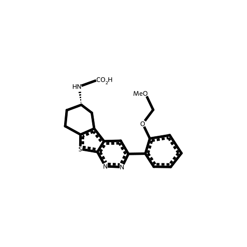 COCOc1ccccc1-c1cc2c3c(sc2nn1)CC[C@H](NC(=O)O)C3